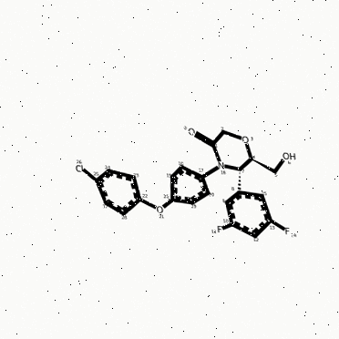 O=C1CO[C@@H](CO)[C@H](c2cc(F)cc(F)c2)N1c1ccc(Oc2ccc(Cl)cc2)cc1